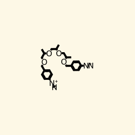 CC(COCc1ccc([N+]#N)cc1)OCC(C)OCC(C)OCc1ccc([N+]#N)cc1